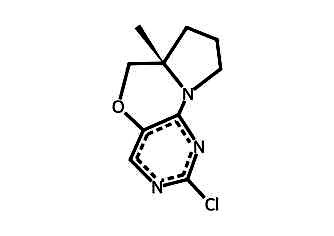 C[C@@]12CCCN1c1nc(Cl)ncc1OC2